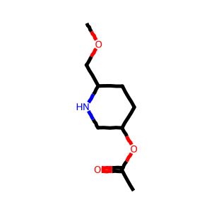 COCC1CCC(OC(C)=O)CN1